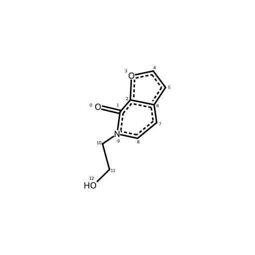 O=c1c2occc2ccn1CCO